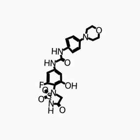 O=C1CN(c2c(O)cc(NC(=O)Nc3ccc(N4CCOCC4)cc3)cc2F)S(=O)(=O)N1